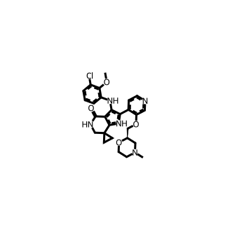 COc1c(Cl)cccc1Nc1c(-c2ccncc2OC[C@H]2CN(C)CCO2)[nH]c2c1C(=O)NCC21CC1